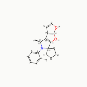 Cc1ccccc1N1[C@@H](C)c2c(oc3occc23)C12CCCC2